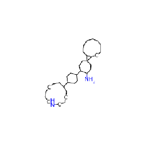 NC1CCC2(CCC1C1CCC(C3CCCCCCNCCCC3)CC1)C1CCCCCCCCC12